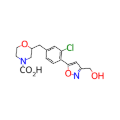 O=C(O)N1CCOC(Cc2ccc(-c3cc(CO)no3)c(Cl)c2)C1